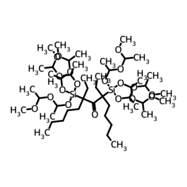 CCCCCC(CC)(C(=O)C(CC)(CCCCC)[Si](OC(C)OC(C)OC)(OC(C)OC(C)OC)OC(C)OC(C)OC)[Si](OC(C)OC(C)OC)(OC(C)OC(C)OC)OC(C)OC(C)OC